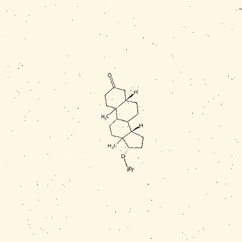 CC(C)O[C@H]1CC[C@H]2C3CC[C@H]4CC(=O)CCC4(C)C3CCC12C